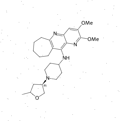 COc1cc2nc3c(c(NC4CCN([C@H]5COC(C)C5)CC4)c2nc1OC)CCCCC3